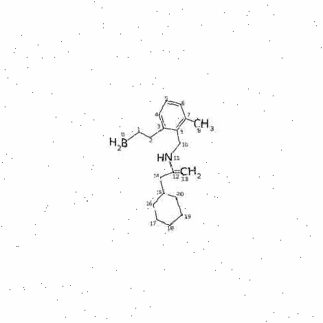 BCCc1cccc(C)c1CNC(=C)CC1CCCCC1